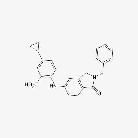 O=C(O)c1cc(C2CC2)ccc1Nc1ccc2c(c1)CN(Cc1ccccc1)C2=O